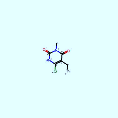 CC(C)Cc1c(Cl)[nH]c(=O)n(C)c1=O